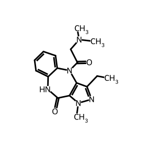 CCc1nn(C)c2c1N(C(=O)CN(C)C)c1ccccc1NC2=O